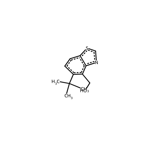 CC(C)(C)c1ccc2scnc2c1CO